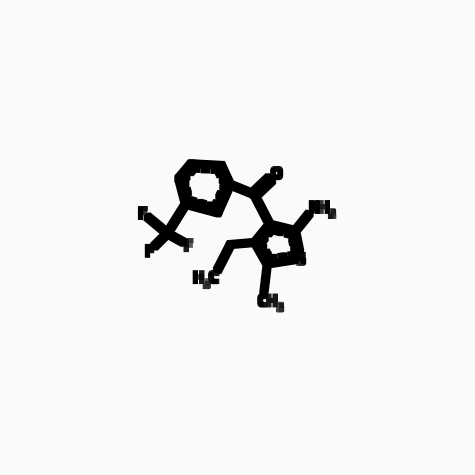 CCc1c(C)sc(N)c1C(=O)c1cccc(C(F)(F)F)c1